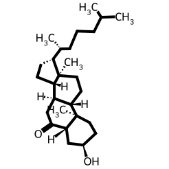 CC(C)CCC[C@@H](C)[C@H]1CC[C@H]2[C@@H]3CC(=O)[C@H]4C[C@H](O)CC[C@]4(C)[C@H]3CC[C@]12C